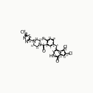 O=C(c1cc(Cc2c[nH]c(=O)c3cc(Cl)c(Cl)n23)ccc1F)N1CCN(c2nnc(C(F)(F)F)s2)CC1